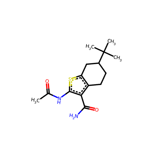 CC(=O)Nc1sc2c(c1C(N)=O)CCC(C(C)(C)C)C2